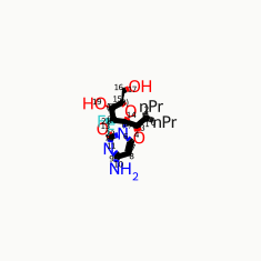 CCCC(CCC)C(=O)[C@@]1(n2ccc(N)nc2=O)O[C@H](CO)[C@@H](O)C1(F)F